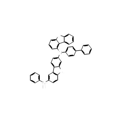 c1ccc(Nc2ccc3sc4cc(N(c5ccc(-c6ccccc6)cc5)c5cccc6sc7ccccc7c56)ccc4c3c2)cc1